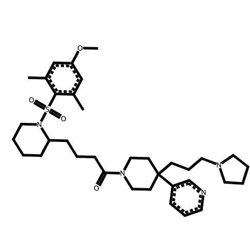 COc1cc(C)c(S(=O)(=O)N2CCCCC2CCCC(=O)N2CCC(CCCN3CCCC3)(c3cccnc3)CC2)c(C)c1